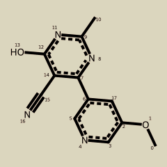 COc1cncc(-c2nc(C)nc(O)c2C#N)c1